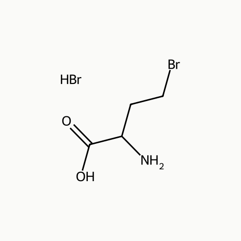 Br.NC(CCBr)C(=O)O